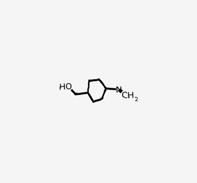 C=NC1CCC(CO)CC1